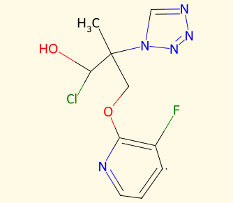 CC(COc1ncc[c]c1F)(C(O)Cl)n1cnnn1